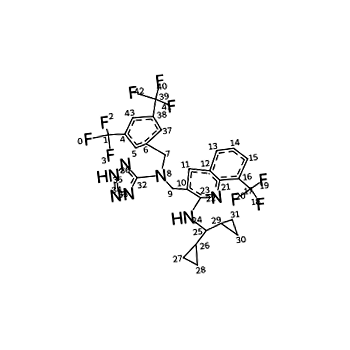 FC(F)(F)c1cc(CN(Cc2cc3cccc(C(F)(F)F)c3nc2NC(C2CC2)C2CC2)c2nn[nH]n2)cc(C(F)(F)F)c1